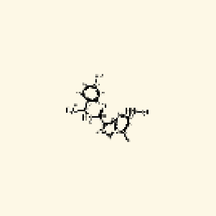 CCNc1cc(C)n2cnc(C(=O)NC(c3ccc(F)cc3)C(F)(F)F)c2n1